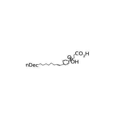 CCCCCCCCCCCCCCCCC=Cc1ccc(P(=O)(O)CCC(=O)O)cc1